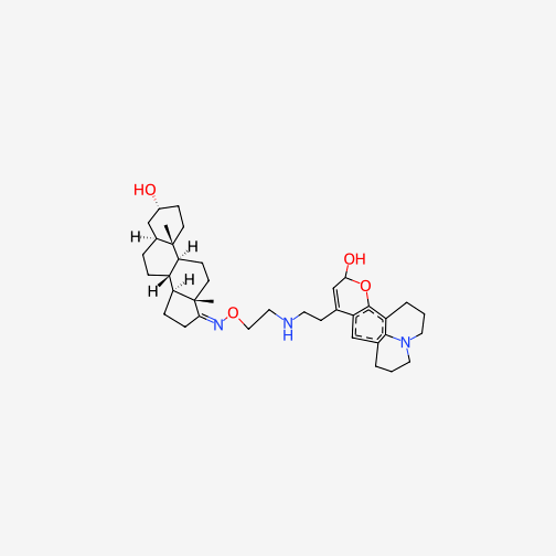 C[C@]12CC[C@@H](O)C[C@@H]1CC[C@@H]1[C@@H]2CC[C@]2(C)/C(=N\OCCNCCC3=CC(O)Oc4c3cc3c5c4CCCN5CCC3)CC[C@@H]12